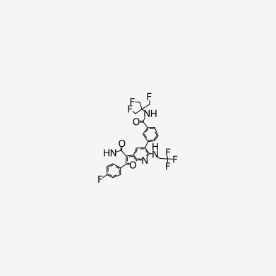 CNC(=O)c1c(-c2ccc(F)cc2)oc2nc(NCC(F)(F)F)c(-c3cccc(C(=O)NC(CF)(CF)CF)c3)cc12